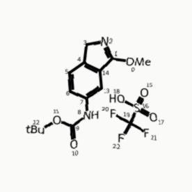 COC1=NCc2ccc(NC(=O)OC(C)(C)C)cc21.O=S(=O)(O)C(F)(F)F